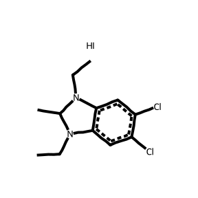 CCN1c2cc(Cl)c(Cl)cc2N(CC)C1C.I